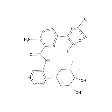 CC(=O)c1ccc(F)c(-c2ccc(N)c(C(=O)Nc3cnccc3[C@H]3C[C@@H](O)[C@](C)(O)[C@@H](C)C3)n2)n1